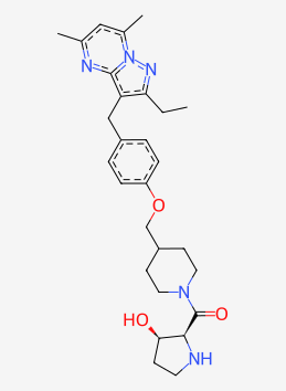 CCc1nn2c(C)cc(C)nc2c1Cc1ccc(OCC2CCN(C(=O)[C@H]3NCC[C@H]3O)CC2)cc1